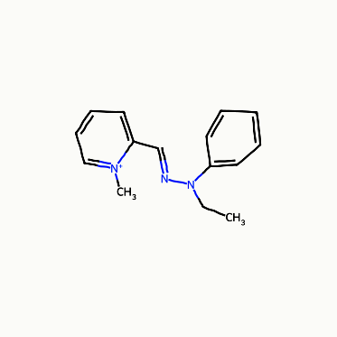 CCN(N=Cc1cccc[n+]1C)c1ccccc1